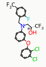 O[C@H](CN(Cc1cc(C(F)(F)F)ccc1F)c1cccc(Oc2cccc(Cl)c2Cl)c1)C(F)(F)F